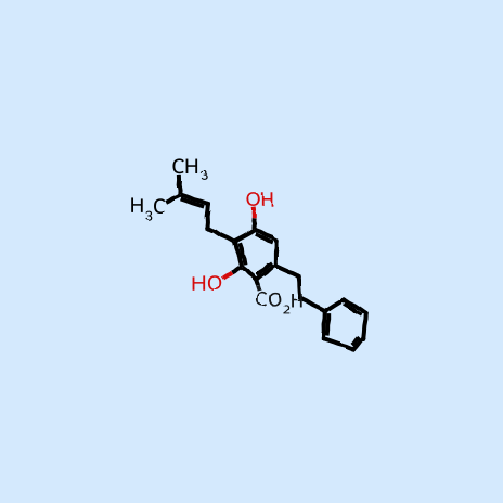 CC(C)=CCc1c(O)cc(CCc2ccccc2)c(C(=O)O)c1O